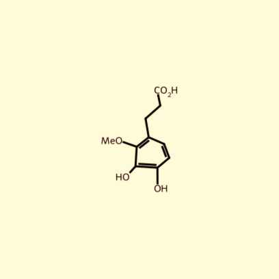 COc1c(CCC(=O)O)ccc(O)c1O